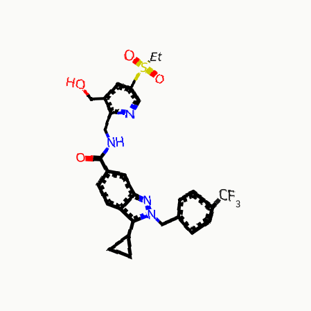 CCS(=O)(=O)c1cnc(CNC(=O)c2ccc3c(C4CC4)n(Cc4ccc(C(F)(F)F)cc4)nc3c2)c(CO)c1